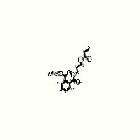 C=CC(=O)OCCCOC(=O)c1ccccc1C(=O)OC